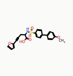 COc1ccc(-c2ccc(S(=O)(=O)NC(CC#Cc3ccco3)C(=O)O)cc2)cc1